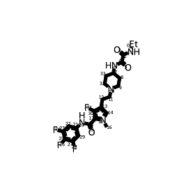 CCNC(=O)C(=O)NC1CCN(CCc2cn(C)c(C(=O)Nc3cc(F)c(F)c(F)c3)c2F)CC1